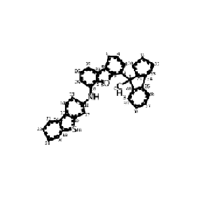 CC1(c2cccc3c2oc2c(Nc4ccc5c(c4)sc4ccccc45)cccc23)c2ccccc2-c2ccccc21